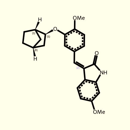 COc1ccc2c(c1)NC(=O)/C2=C\c1ccc(OC)c(O[C@H]2C[C@@H]3CC[C@H]2C3)c1